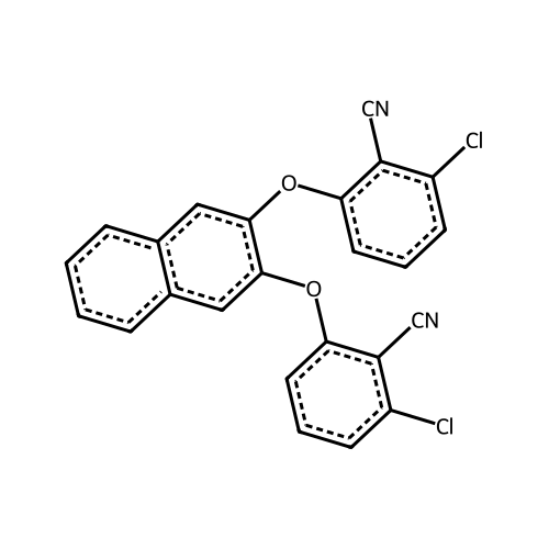 N#Cc1c(Cl)cccc1Oc1cc2ccccc2cc1Oc1cccc(Cl)c1C#N